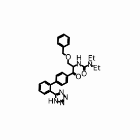 CCN(CC)C(=O)NC(COCc1ccccc1)C(=O)c1ccc(-c2ccccc2-c2nnn[nH]2)cc1